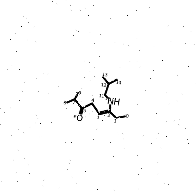 CCC(=CCC(=O)C(C)C)NCC(C)C